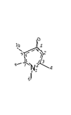 Cc1cc(C)[n+](I)c(C)c1C